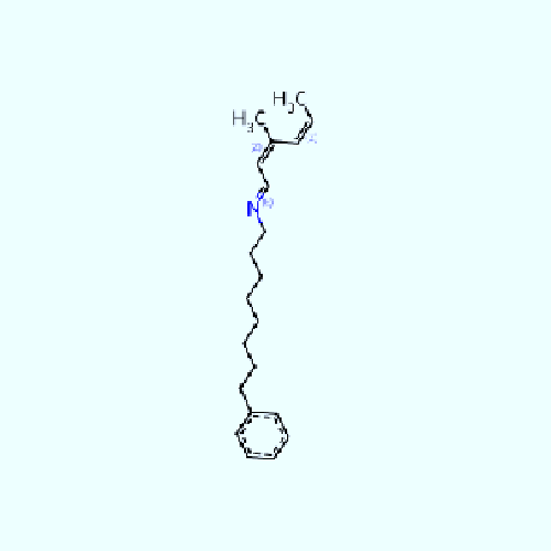 C\C=C/C(C)=C\C=N\CCCCCCCCc1ccccc1